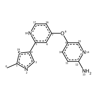 Cc1ncc(-c2cc(Oc3ccc(N)nc3)ccn2)s1